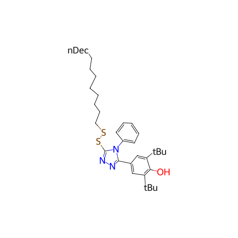 CCCCCCCCCCCCCCCCCCSSc1nnc(-c2cc(C(C)(C)C)c(O)c(C(C)(C)C)c2)n1-c1ccccc1